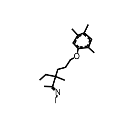 CCC(C)(CCCOc1cc(C)c(C)cc1C)/C(C)=N/I